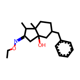 CCON=C1CC2(O)CC(Cc3ccccc3)CCC2(C)C1C